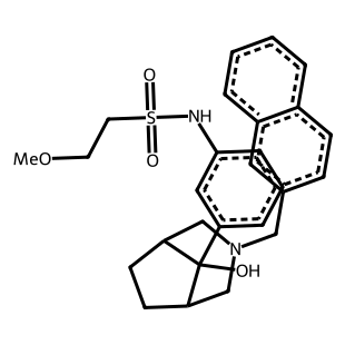 COCCS(=O)(=O)Nc1cccc(C2(O)C3CCC2CN(Cc2ccc4ccccc4c2)C3)c1